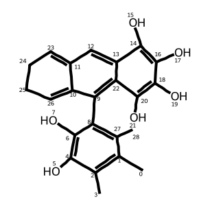 Cc1c(C)c(O)c(O)c(-c2c3c(cc4c(O)c(O)c(O)c(O)c24)=CCCC=3)c1C